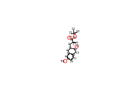 C=C(CC1Cc2cc(OC)ccc2CC1=O)C(=O)OC(C)(C)C